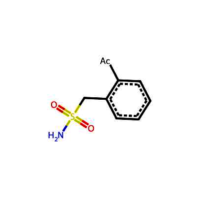 CC(=O)c1ccccc1CS(N)(=O)=O